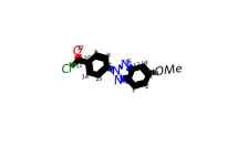 COc1ccc2nn(-c3ccc(C(=O)Cl)cc3)nc2c1